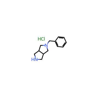 Cl.c1ccc(CN2CC3CNCC3C2)cc1